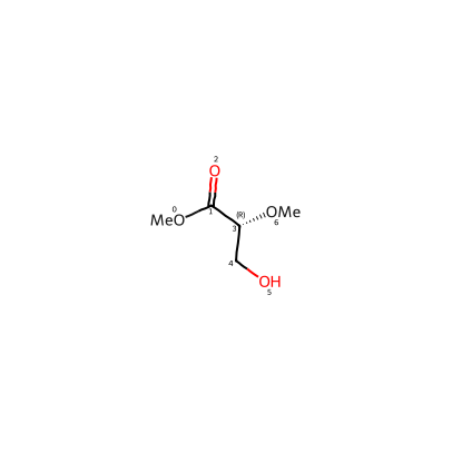 COC(=O)[C@@H](CO)OC